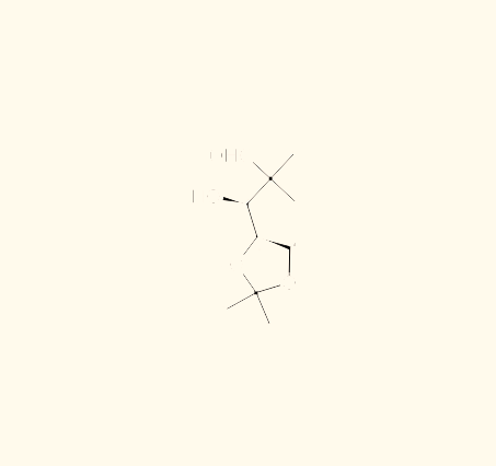 CC1(C)OC[C@H]([C@@H](O)C(C)(C)C=O)O1